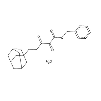 O.O=C(CCC12CC3CC(CC(C3)C1)C2)C(=O)C(=O)OCc1ccccc1